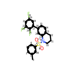 Cc1cccc(S(=O)(=O)N2CCCc3ccc(-c4cc(F)cc(F)c4F)cc32)c1